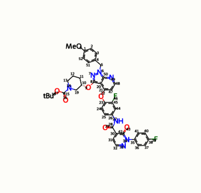 COc1ccc(Cn2nc(O[C@H]3CCCN(C(=O)OC(C)(C)C)C3)c3c(Oc4ccc(NC(=O)c5ccnn(-c6ccc(F)cc6)c5=O)cc4F)ccnc32)cc1